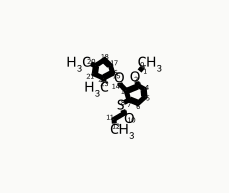 CCOc1cccc(SC(=O)CC)c1COc1ccc(C)cc1C